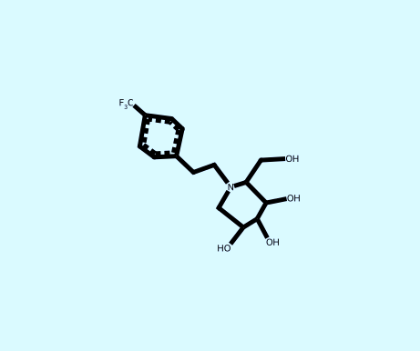 OCC1C(O)C(O)C(O)CN1CCc1ccc(C(F)(F)F)cc1